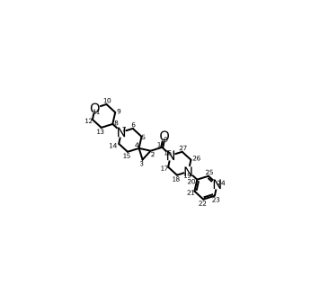 O=C(C1CC12CCN(C1CCOCC1)CC2)N1CCN(c2cccnc2)CC1